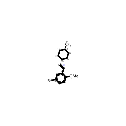 COc1ccc(Br)cc1/C=C/[C@H]1CC[C@H](C(F)(F)F)CC1